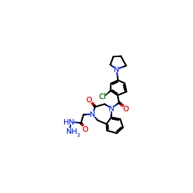 NNC(=O)CN1Cc2ccccc2N(C(=O)c2ccc(N3CCCC3)cc2Cl)CC1=O